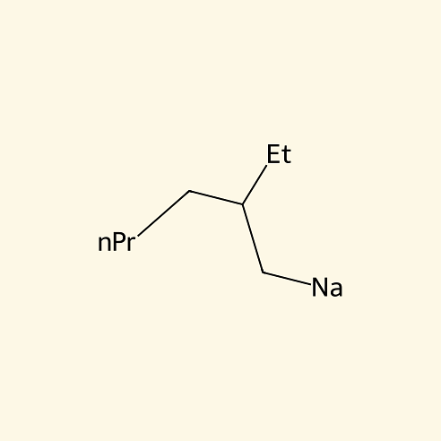 CCCCC(CC)[CH2][Na]